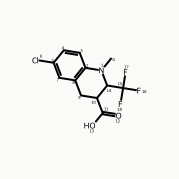 CN1c2ccc(Cl)cc2CC(C(=O)O)C1C(F)(F)F